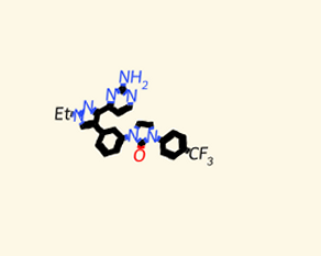 CCn1cc(C2C=CC=C(N3CCN(c4ccc(C(F)(F)F)cc4)C3=O)C2)c(-c2ccnc(N)n2)n1